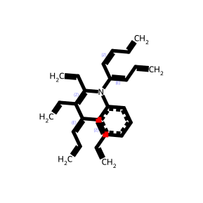 C=C\C=C/C(=C\C=C)C(/C=C)=C(/C=C)N(C(/C=C\C=C)=C/C=C)c1ccccc1